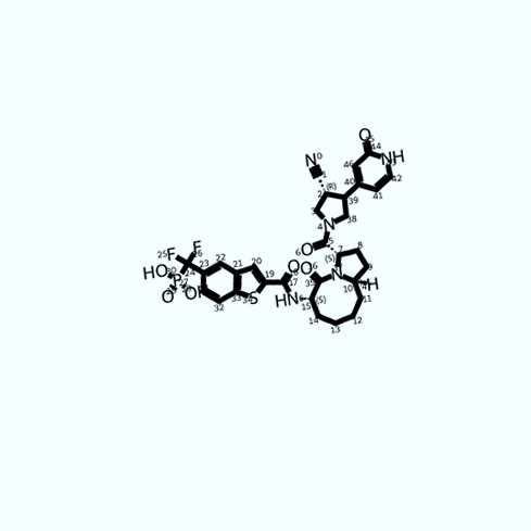 N#C[C@H]1CN(C(=O)[C@@H]2CC[C@@H]3CCCC[C@H](NC(=O)c4cc5cc(C(F)(F)P(=O)(O)O)ccc5s4)C(=O)N32)CC1c1cc[nH]c(=O)c1